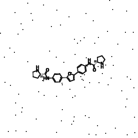 O=C(Nc1ccc(-c2ccc(-c3ccc(NC(=O)[C@@H]4CCCN4)cc3)o2)cc1)[C@@H]1CCCN1